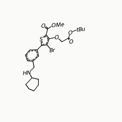 COC(=O)c1sc(-c2cccc(CNC3CCCCC3)c2)c(Br)c1OCC(=O)OC(C)(C)C